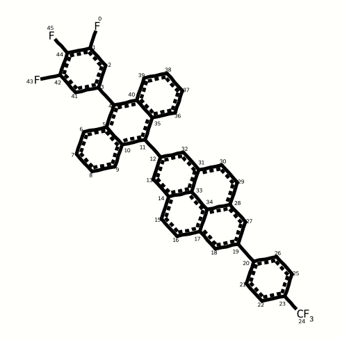 Fc1cc(-c2c3ccccc3c(-c3cc4ccc5cc(-c6ccc(C(F)(F)F)cc6)cc6ccc(c3)c4c56)c3ccccc23)cc(F)c1F